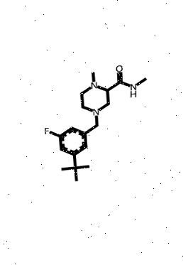 CNC(=O)C1CN(Cc2cc(F)cc(C(C)(C)C)c2)CCN1C